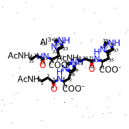 CC(=O)NCCC(=O)N[C@@H](Cc1c[nH]cn1)C(=O)[O-].CC(=O)NCCC(=O)N[C@@H](Cc1c[nH]cn1)C(=O)[O-].CC(=O)NCCC(=O)N[C@@H](Cc1c[nH]cn1)C(=O)[O-].[Al+3]